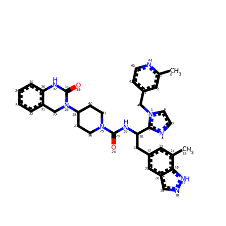 Cc1cc(Cn2ccnc2C(Cc2cc(C)c3[nH]ncc3c2)NC(=O)N2CCC(N3Cc4ccccc4NC3=O)CC2)ccn1